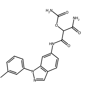 Cc1cccc(-n2ncc3ccc(NC(=O)C(OC(N)=O)C(N)=O)cc32)c1